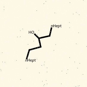 CCCCCCCCCC(O)CCCCCCCC